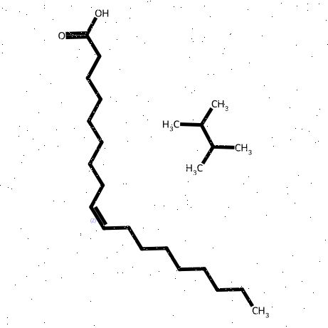 CC(C)C(C)C.CCCCCCCC/C=C\CCCCCCCC(=O)O